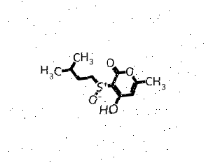 Cc1cc(O)c([S+]([O-])CCC(C)C)c(=O)o1